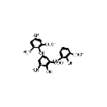 Nc1cccc(C(=O)[O-])c1O.Nc1cccc(C(=O)[O-])c1O.Nc1cccc(C(=O)[O-])c1O.[Al+3]